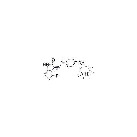 CN1C(C)(C)CC(Nc2ccc(N/C=C3\C(=O)Nc4cccc(F)c43)cc2)CC1(C)C